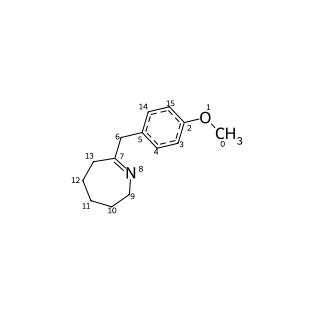 COc1ccc(CC2=NCCCCC2)cc1